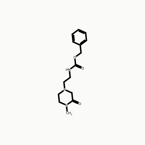 CN1CCN(CCNC(=O)OCc2ccccc2)CC1=O